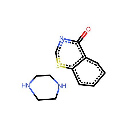 C1CNCCN1.O=c1ncsc2ccccc12